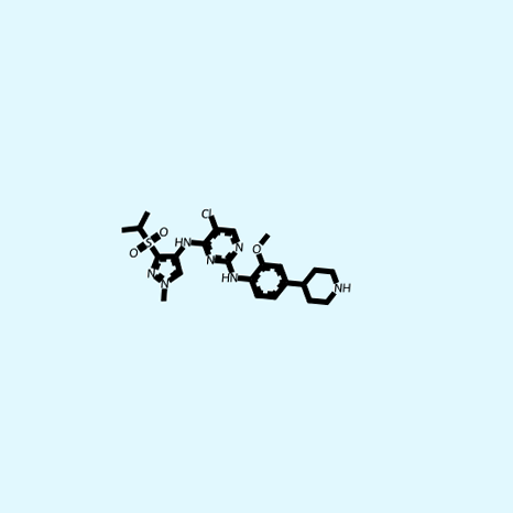 COc1cc(C2CCNCC2)ccc1Nc1ncc(Cl)c(Nc2cn(C)nc2S(=O)(=O)C(C)C)n1